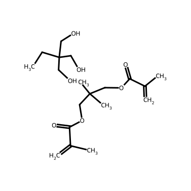 C=C(C)C(=O)OCC(C)(C)COC(=O)C(=C)C.CCC(CO)(CO)CO